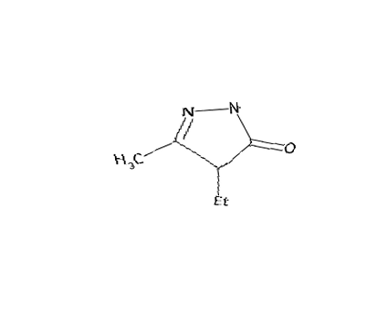 CCC1C(=O)[N]N=C1C